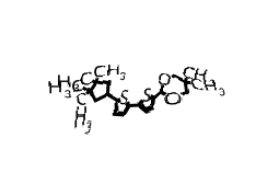 CC1(C)COC(c2ccc(-c3ccc(C4CC(C)(C)C(C)(C)C4)s3)s2)OC1